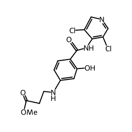 COC(=O)CCNc1ccc(C(=O)Nc2c(Cl)cncc2Cl)c(O)c1